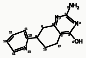 Nc1nc(O)c2c(n1)CC(c1ccccn1)CC2